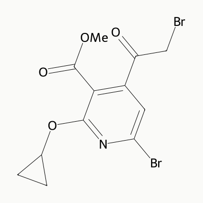 COC(=O)c1c(C(=O)CBr)cc(Br)nc1OC1CC1